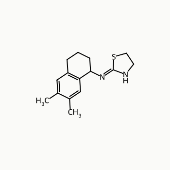 Cc1cc2c(cc1C)C(/N=C1/NCCS1)CCC2